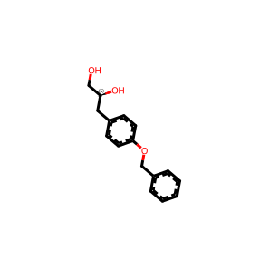 OC[C@@H](O)Cc1ccc(OCc2ccccc2)cc1